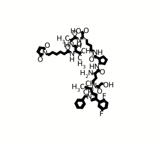 CC(C)[C@H](NC(=O)CCCCCN1C(=O)C=CC1=O)C(=O)N[C@@H](C)C(=O)N[C@@H](CCCCNC(=O)C1CCCC1NC(=O)[C@@H](N)CCN(C(=O)CO)[C@@H](c1cc(-c2cc(F)ccc2F)cn1Cc1ccccc1)C(C)(C)C)C(=O)O